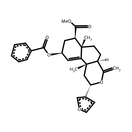 C=C1O[C@H](c2ccoc2)C[C@]2(C)C3=C[C@@H](OC(=O)c4ccccc4)C[C@@H](C(=O)OC)[C@]3(C)CC[C@@H]12